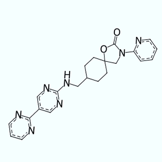 O=C1OC2(CCC(CNc3ncc(-c4ncccn4)cn3)CC2)CN1c1ccccn1